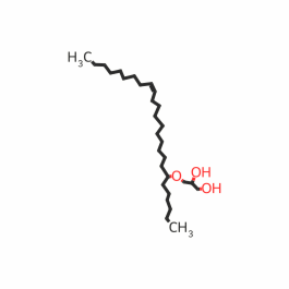 CCCCCCCC/C=C\CCCCCCCCCC(CCCCCC)OCC(O)CO